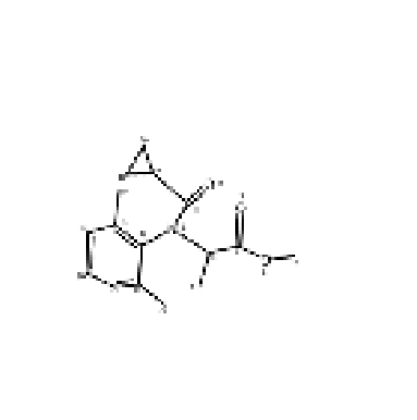 COC(=O)C(C)N(C(=O)C1CC1)c1c(C)cccc1C